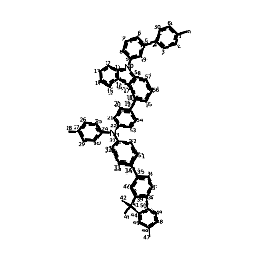 Cc1ccc(-c2cccc(-n3c4ccccc4c4c(-c5ccc(N(c6ccc(C)cc6)c6ccc(-c7ccc8c(c7)C(C)(C)c7cc(C)ccc7-8)cc6)cc5)cccc43)c2)cc1